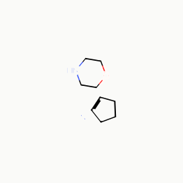 C1=CCCC1.C1COCCN1.N